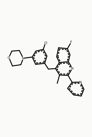 Cc1c(-c2ccccn2)nc2cc(F)ccc2c1Cc1cc(Cl)cc(N2CCOCC2)c1